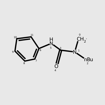 [CH2]N(CCCC)C(=O)Nc1ccccc1